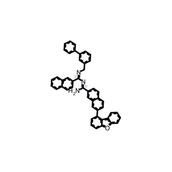 N/C(=N\C(=N/Cc1cccc(-c2ccccc2)c1)c1ccc2ccccc2c1)c1ccc2ccc(-c3cccc4oc5ccccc5c34)cc2c1